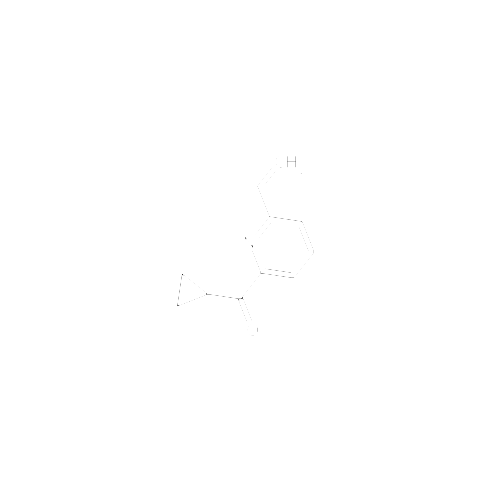 C=Cc1cccc(C(=O)C2CC2)n1